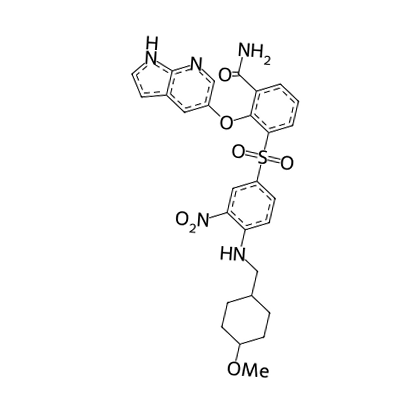 COC1CCC(CNc2ccc(S(=O)(=O)c3cccc(C(N)=O)c3Oc3cnc4[nH]ccc4c3)cc2[N+](=O)[O-])CC1